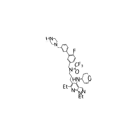 CCc1nc2c(cnn2CC)c(NC2CCOCC2)c1CCCN(Cc1ccc(F)c(-c2cccc(CN3CCN[C@@H](C)C3)c2)c1)C(=O)C(F)(F)F